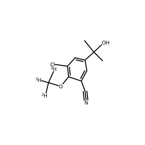 [2H]C([2H])([2H])Oc1c(Cl)cc(C(C)(C)O)cc1C#N